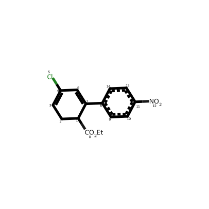 CCOC(=O)C1CC=C(Cl)C=C1c1ccc([N+](=O)[O-])cc1